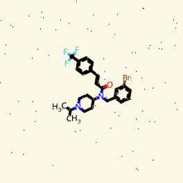 CC(C)N1CCC(N(Cc2cccc(Br)c2)C(=O)/C=C/c2ccc(C(F)(F)F)cc2)CC1